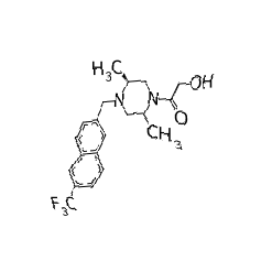 CC1CN(Cc2ccc3cc(C(F)(F)F)ccc3c2)[C@@H](C)CN1C(=O)CO